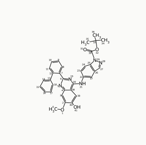 COc1cc2nc(-c3ccccc3-c3ccccc3)nc(Nc3ccc4c(cnn4C(=O)OC(C)(C)C)c3)c2cc1O